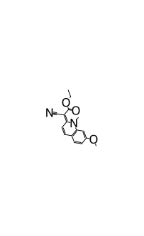 CCOC(=O)/C(C#N)=C1/C=Cc2ccc(OC)cc2N1C